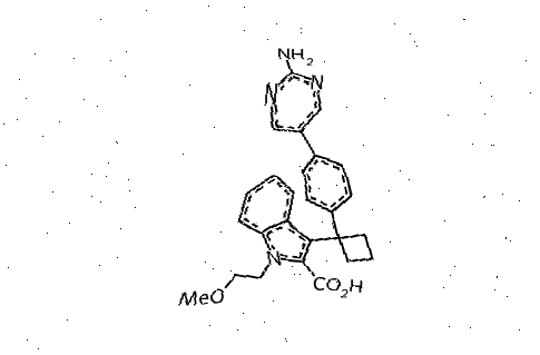 COCCn1c(C(=O)O)c(C2(c3ccc(-c4cnc(N)nc4)cc3)CCC2)c2ccccc21